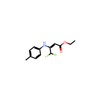 CCOC(=O)/C=C(/Nc1ccc(C)cc1)C(F)F